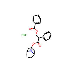 Br.CN1C2CCC1CC(OC(=O)C(COC(=O)c1ccccc1)c1ccccc1)C2